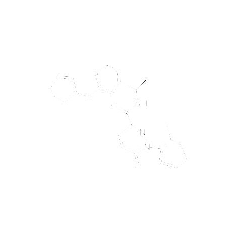 C[C@@H](NC(=O)c1ccc(=O)n(-c2ccccc2F)n1)c1cccc(Oc2ccccc2)c1